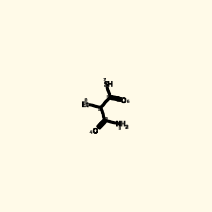 CCC(C(N)=O)C(=O)S